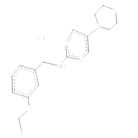 Cl.FCOc1cccc(CNc2ncc(N3CCNCC3)cn2)c1